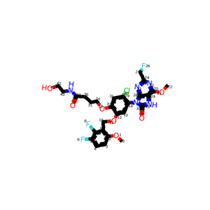 COc1ccc(F)c(F)c1COc1cc(-n2c(=O)[nH]c3c(OC)nc(CF)nc32)c(Cl)cc1OCCCC(=O)NCCO